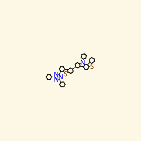 c1ccc(-c2nc(-c3ccccc3)nc(-c3cccc4c3sc3ccc(-c5ccc6c(c5)c5ccc7sc8ccccc8c7c5n6-c5ccccc5)cc34)n2)cc1